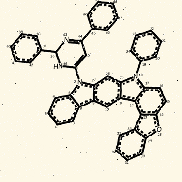 C1=C(n2c3ccccc3c3cc4c5c6c(ccc5n(-c5ccccc5)c4cc32)oc2ccccc26)NC(c2ccccc2)N=C1c1ccccc1